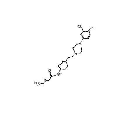 CCOCC(=O)NC1CCC(CCN2CCN(c3ccc(C)c(Cl)c3)CC2)CC1